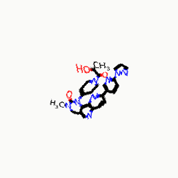 C[C@H](O)C(=O)N1CCC(N2C(=O)N(C)Cc3cnc4ccc(-c5ccc(-n6cccn6)nc5)nc4c32)CC1